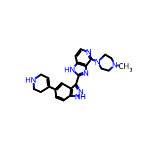 CN1CCN(c2nccc3[nH]c(-c4n[nH]c5ccc(C6=CCNCC6)cc45)nc23)CC1